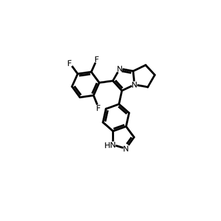 Fc1ccc(F)c(-c2nc3n(c2-c2ccc4[nH]ncc4c2)CCC3)c1F